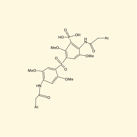 COc1cc(S(=O)(=O)c2cc(OC)c(NC(=O)CC(C)=O)c(P(=O)(O)O)c2OC)c(OC)cc1NC(=O)CC(C)=O